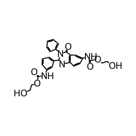 O=C(Nc1cccc(-c2nc3ccc(NC(=O)OCCO)cc3c(=O)n2-c2ccccc2)c1)OCCO